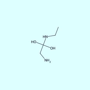 CCNC(O)(O)CN